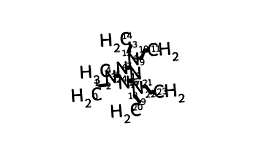 C=CCN(C)c1nc(N(CC=C)CC=C)nc(N(CC=C)CC=C)n1